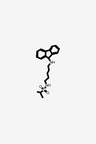 CC(C)S(=O)(=O)NCCCCCNC1c2ccccc2-c2ccccc21